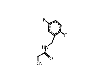 N#CCC(=O)NCc1cc(F)ccc1F